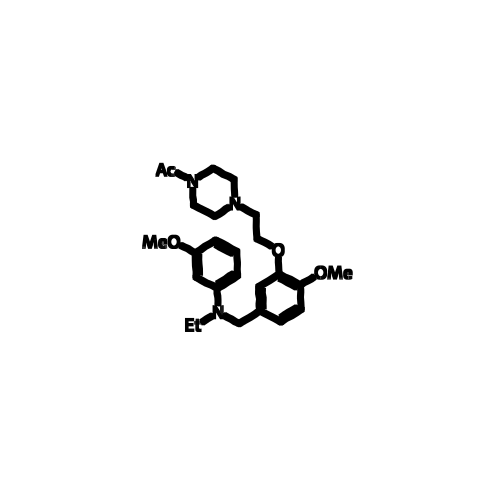 CCN(Cc1ccc(OC)c(OCCN2CCN(C(C)=O)CC2)c1)c1cccc(OC)c1